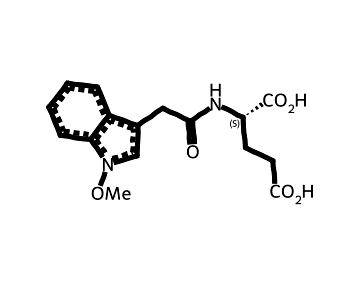 COn1cc(CC(=O)N[C@@H](CCC(=O)O)C(=O)O)c2ccccc21